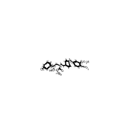 CC(C)(C)OC(=O)N(CCc1ccc(Sc2ccc([N+](=O)[O-])c(C(=O)O)c2)cc1)C[C@H](O)c1cccc(Cl)c1